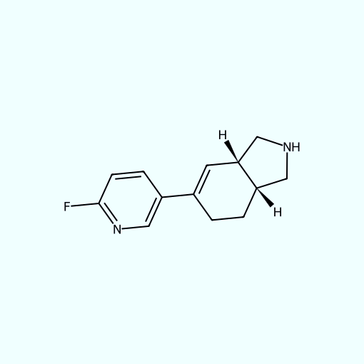 Fc1ccc(C2=C[C@@H]3CNC[C@@H]3CC2)cn1